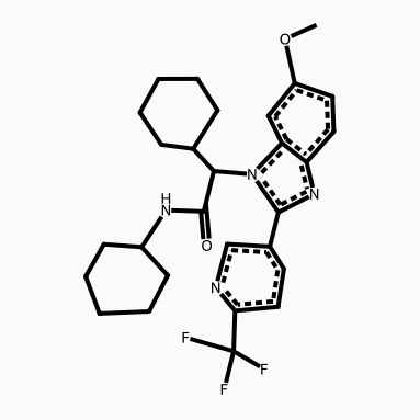 COc1ccc2nc(-c3ccc(C(F)(F)F)nc3)n(C(C(=O)NC3CCCCC3)C3CCCCC3)c2c1